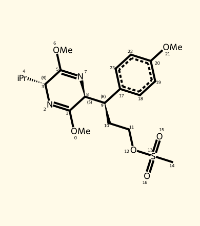 COC1=N[C@H](C(C)C)C(OC)=N[C@H]1[C@H](CCOS(C)(=O)=O)c1ccc(OC)cc1